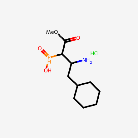 COC(=O)C(C(N)CC1CCCCC1)[PH](=O)O.Cl